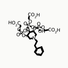 O=C(O)COP(=O)(O)OC1[C@H](OP(=O)(O)OCC(=O)O)CN(CCc2ccccc2)C[C@H]1OP(=O)(O)OCC(=O)O